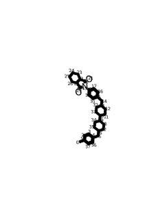 Cc1ccc(CC2CCC(C3CCC(Cc4ccc(N5C(=O)C6CCCCC6C5=O)cc4)CC3)CC2)cc1